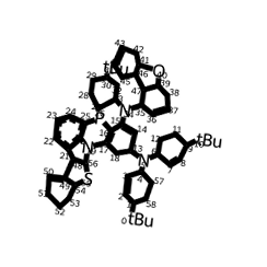 CC(C)(C)C1C=CC(N(C2C=CC(C(C)(C)C)CC2)C2C=C3C4=C(C2)N2c5c(cccc5P4C4CCC(C(C)(C)C)CC4N3C3C=CCC4OC5CC=CCC5C43)C3C4=CCCCC4SC32)CC1